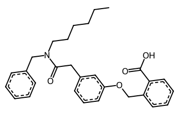 CCCCCCN(Cc1ccccc1)C(=O)Cc1cccc(OCc2ccccc2C(=O)O)c1